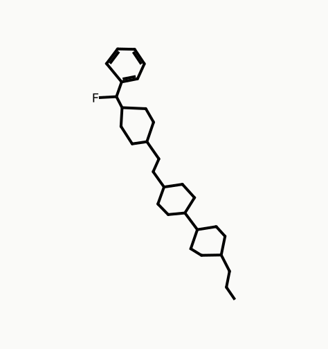 CCCC1CCC(C2CCC(CCC3CCC(C(F)c4ccccc4)CC3)CC2)CC1